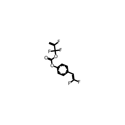 C=C(F)C(F)(F)OC(=O)Oc1ccc(C=C(F)F)cc1